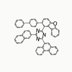 c1ccc(-c2ccc(-c3ccc4oc5ccccc5c4c3-c3nc(-c4ccc5ccccc5c4)nc(-c4cc5ccccc5c5ccccc45)n3)cc2)cc1